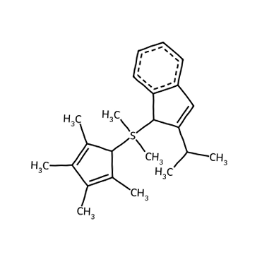 CC1=C(C)C(S(C)(C)C2C(C(C)C)=Cc3ccccc32)C(C)=C1C